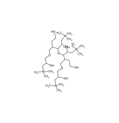 C[N+](C)(C)CC(O)COCC(CCO)C(OC(C(O)C[N+](C)(C)C)C(CCO)COCC(O)C[N+](C)(C)C)C(O)C[N+](C)(C)C